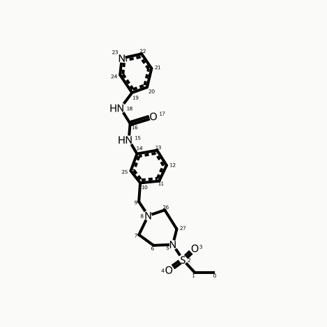 CCS(=O)(=O)N1CCN(Cc2cccc(NC(=O)Nc3cccnc3)c2)CC1